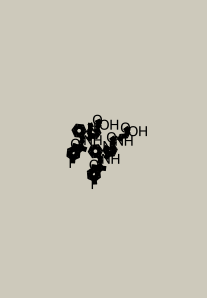 Cc1c(C(NC2=CC=C(C(=O)O)N(C)C2)C2CCCCC2)oc2ccc(F)cc12.Cc1c(C(Nc2ccc(C(=O)NCCC(=O)O)nc2)C2CCCCC2)oc2ccc(F)cc12